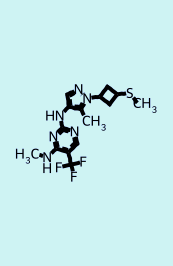 CNc1nc(Nc2cnn(C3CC(SC)C3)c2C)ncc1C(F)(F)F